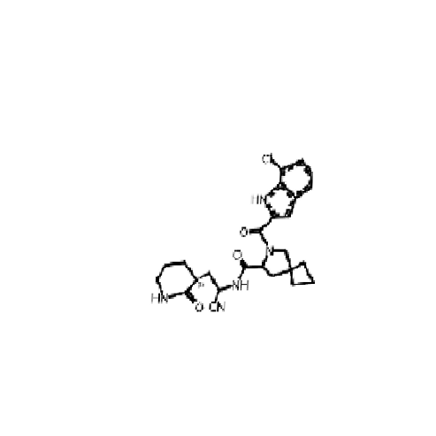 N#CC(C[C@@H]1CCCNC1=O)NC(=O)C1CC2(CCC2)CN1C(=O)c1cc2cccc(Cl)c2[nH]1